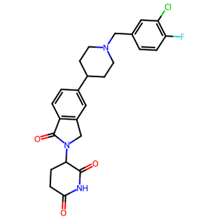 O=C1CCC(N2Cc3cc(C4CCN(Cc5ccc(F)c(Cl)c5)CC4)ccc3C2=O)C(=O)N1